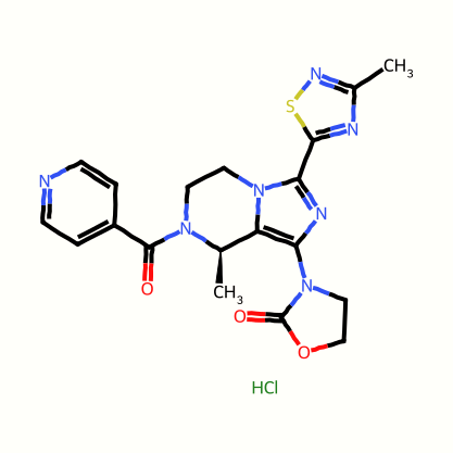 Cc1nsc(-c2nc(N3CCOC3=O)c3n2CCN(C(=O)c2ccncc2)[C@@H]3C)n1.Cl